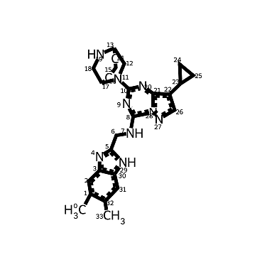 Cc1cc2nc(CNc3nc(N4CC5CCCC4CN5)nc4c(C5CC5)cnn34)[nH]c2cc1C